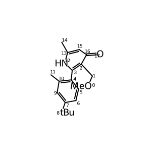 COCc1c(-c2ccc(C(C)(C)C)cc2C)[nH]c(C)cc1=O